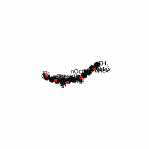 CCCCCCCCC1(CCCCCCCC)c2cc(-c3ccc(OC(C)C)cc3)ccc2-c2ccc(-c3ccc(-c4ccc5c(c4)C(CCCCCC)(CCCCCC)c4cc(-c6ccc(-c7ccc8c(c7)C(CCCCCCCC)(CCCCCCCC)c7cc(-c9ccc%10c(c9)C(CCCCCC)(CCCCCC)c9cc(C)ccc9-%10)ccc7-8)c7nsnc67)ccc4-5)c4nsnc34)cc21